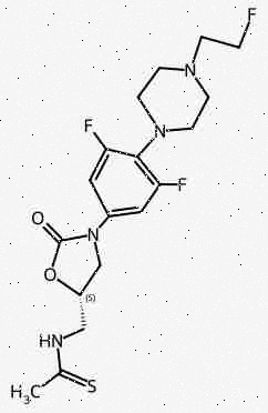 CC(=S)NC[C@H]1CN(c2cc(F)c(N3CCN(CCF)CC3)c(F)c2)C(=O)O1